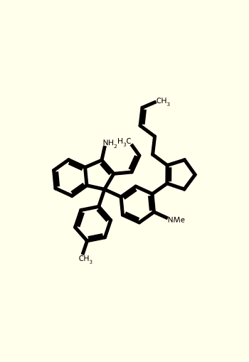 C/C=C\CCC1=C(c2cc(C3(c4ccc(C)cc4)C(/C=C\C)=C(N)c4ccccc43)ccc2NC)CCC1